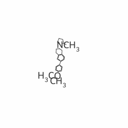 CC(C)Oc1ccc(-c2ccc3c(c2)CCC(N2CCCC2C)C3)cc1